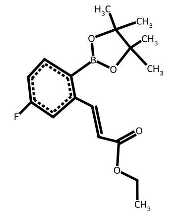 CCOC(=O)/C=C/c1cc(F)ccc1B1OC(C)(C)C(C)(C)O1